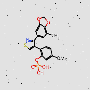 COc1ccc(-c2csnc2-c2cc(C)c3c(c2)OCO3)c(OP(=O)(O)O)c1